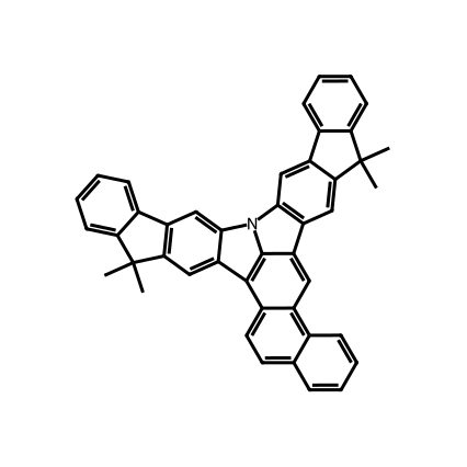 CC1(C)c2ccccc2-c2cc3c(cc21)c1cc2c4ccccc4ccc2c2c4cc5c(cc4n3c12)-c1ccccc1C5(C)C